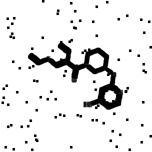 C=CS/C=C(\C=C)C(=O)N1CCC[C@@H](Oc2cc(O)ccn2)C1